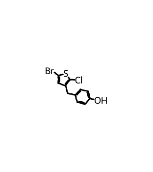 Oc1ccc(Cc2cc(Br)sc2Cl)cc1